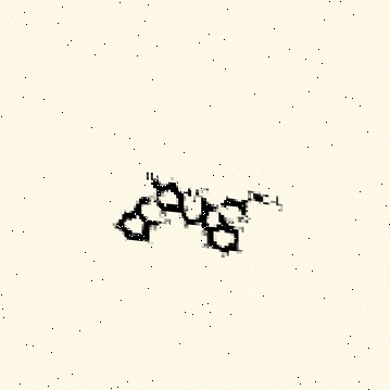 COC(=O)Cn1c(C)c(Cc2ccc(=O)n(Cc3ccccc3F)c2)c2ccccc21